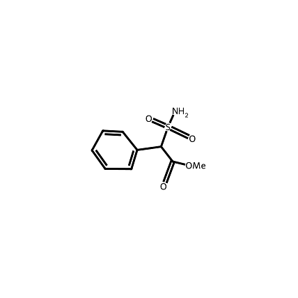 COC(=O)C(c1ccccc1)S(N)(=O)=O